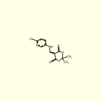 CC1(C)OC(=O)C(=CNc2ccc(Cl)nc2)C(=O)O1